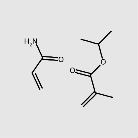 C=C(C)C(=O)OC(C)C.C=CC(N)=O